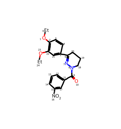 CCOc1ccc(C2=NN(C(=O)c3cccc([N+](=O)[O-])c3)CCC2)cc1OCC